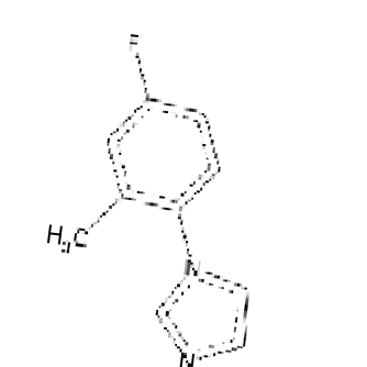 Cc1cc(F)ccc1-n1ccnc1